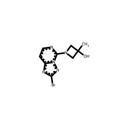 CC1(O)CN(c2nccc3nc(Br)nn23)C1